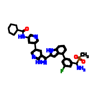 CS(=O)(=O)C(N)c1cc(F)cc(-c2cccc3[nH]c(-c4n[nH]c5ncc(-c6cncc(NC(=O)C7CCCCC7)c6)cc45)cc23)c1